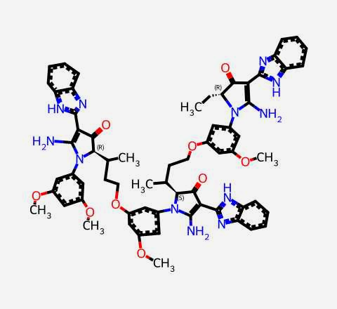 CC[C@@H]1C(=O)C(c2nc3ccccc3[nH]2)=C(N)N1c1cc(OC)cc(OCCC(C)[C@H]2C(=O)C(c3nc4ccccc4[nH]3)=C(N)N2c2cc(OC)cc(OCCC(C)[C@@H]3C(=O)C(c4nc5ccccc5[nH]4)=C(N)N3c3cc(OC)cc(OC)c3)c2)c1